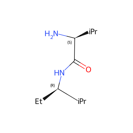 CC[C@@H](NC(=O)[C@@H](N)C(C)C)C(C)C